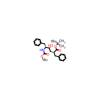 CC(C)(C)OC(=O)N[C@@H](Cc1ccccc1)[C@@H](O)C[C@H](Cc1ccccc1)C(=O)O[Si](C)(C)C(C)(C)C